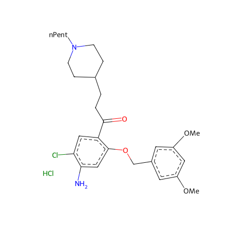 CCCCCN1CCC(CCC(=O)c2cc(Cl)c(N)cc2OCc2cc(OC)cc(OC)c2)CC1.Cl